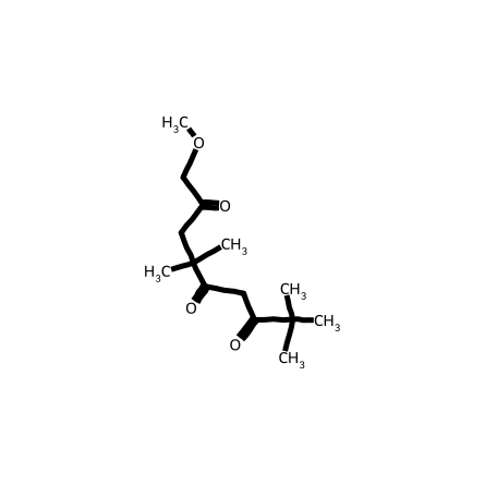 COCC(=O)CC(C)(C)C(=O)CC(=O)C(C)(C)C